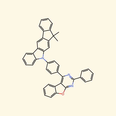 CC1(C)c2ccccc2-c2cc3c4ccccc4n(-c4ccc(-c5nc(-c6ccccc6)nc6oc7ccccc7c56)cc4)c3cc21